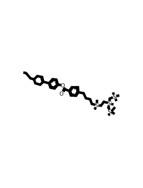 CCCC1CC=C(c2ccc(OC(=O)c3ccc(CCCC[Si](C)(C)CC[Si](C)(C[Si](C)(C)C)C[Si](C)(C)C)cc3)cc2)CC1